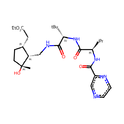 CCOC(=O)C[C@H]1CC[C@@](C)(O)[C@H]1CNC(=O)[C@@H](NC(=O)[C@H](NC(=O)c1cnccn1)C(C)C)C(C)(C)C